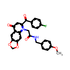 COc1ccc(CNC(=O)Cn2c(C(=O)c3ccc(F)cc3)cc(=O)c3cc4c(cc32)OCO4)cc1